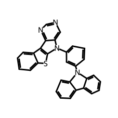 c1cc(-n2c3ccccc3c3ccccc32)cc(-n2c3cncnc3c3c4ccccc4sc32)c1